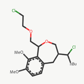 CCCCC(Cl)C1COC(COCCCl)c2c(ccc(OC)c2OC)C1